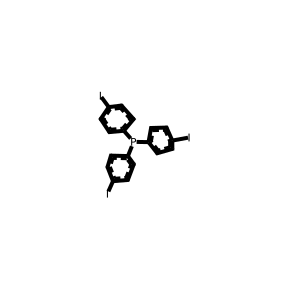 Ic1ccc(P(c2ccc(I)cc2)c2ccc(I)cc2)cc1